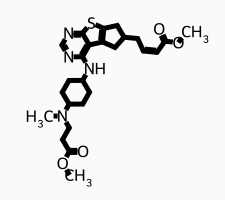 COC(=O)/C=C\CC1Cc2sc3ncnc(NC4CCC(N(C)CCC(=O)OC)CC4)c3c2C1